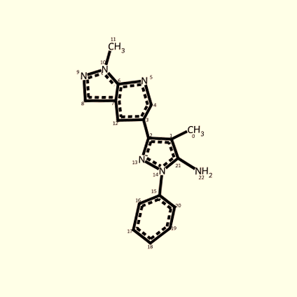 Cc1c(-c2cnc3c(cnn3C)c2)nn(-c2ccccc2)c1N